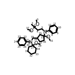 COC(C)(CCN(c1ccccc1)C1(OC)CCC(CN(c2ccccc2)C2(OC)CCCCC2)C1)OC